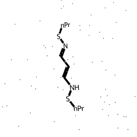 CCCS/N=C/C=CNSCCC